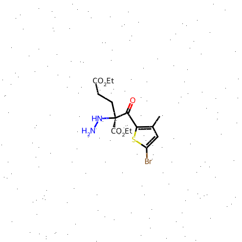 CCOC(=O)CC[C@](NN)(C(=O)OCC)C(=O)c1sc(Br)cc1C